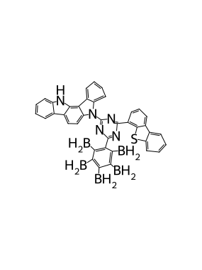 Bc1c(B)c(B)c(-c2nc(-c3cccc4c3sc3ccccc34)nc(-n3c4ccccc4c4c5[nH]c6ccccc6c5ccc43)n2)c(B)c1B